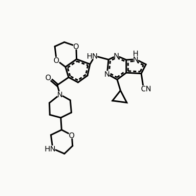 N#Cc1c[nH]c2nc(Nc3ccc(C(=O)N4CCC(C5CNCCO5)CC4)c4c3OCCO4)nc(C3CC3)c12